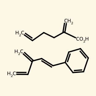 C=CC(=C)C=Cc1ccccc1.C=CCCC(=C)C(=O)O